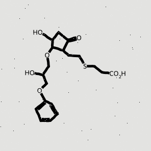 O=C(O)CCSCCC1C(=O)CC(O)C1OCC(O)COc1ccccc1